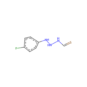 Fc1ccc(NNNC=S)cc1